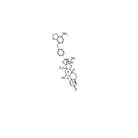 C[C@]12C=CC(=O)C=C1CC[C@@H]1[C@@H]2[C@@H](O)C[C@@]2(C)[C@H]1C[C@H]1O[C@@H](c3ccc(Cc4ccc(N)c5c4OCC5)cc3)O[C@]12C(=O)CO